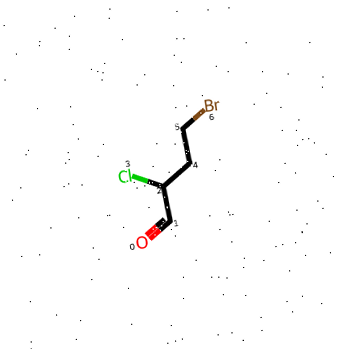 O=CC(Cl)CCBr